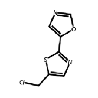 ClCc1cnc(-c2cnco2)s1